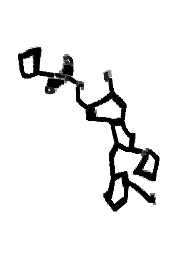 O=S(=O)(NCc1cc2c(cc1F)CC(N1CCC1)C2Cc1cccc(F)c1)C1CCC1